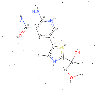 Cc1nc(C2(O)CCOC2)sc1-c1cnc(N)c(C(N)=O)c1